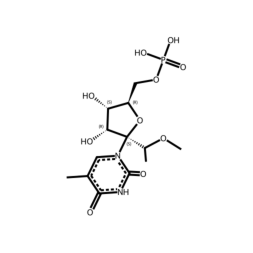 COC(C)[C@@]1(n2cc(C)c(=O)[nH]c2=O)O[C@H](COP(=O)(O)O)[C@@H](O)[C@H]1O